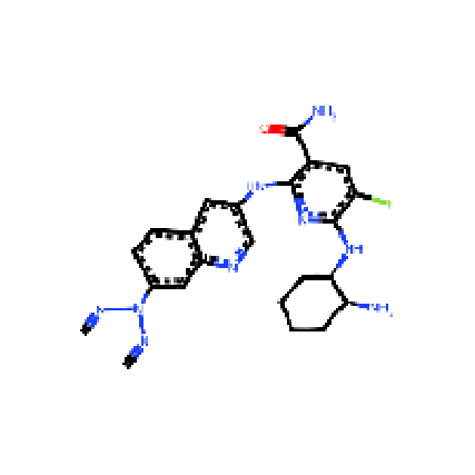 C=NN(N=C)c1ccc2cc(Nc3nc(N[C@@H]4CCCC[C@@H]4N)c(F)cc3C(N)=O)cnc2c1